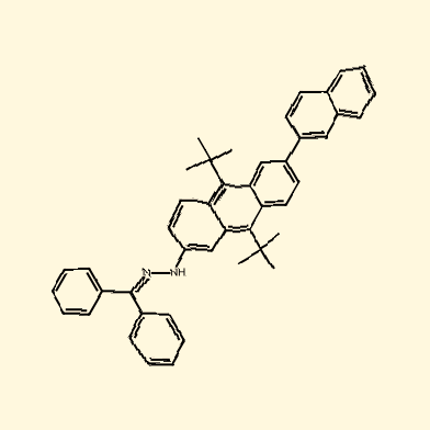 CC(C)(C)c1c2ccc(-c3ccc4ccccc4c3)cc2c(C(C)(C)C)c2ccc(NN=C(c3ccccc3)c3ccccc3)cc12